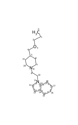 CCCOCC1CCN(CCn2ccc3ccccc32)CC1